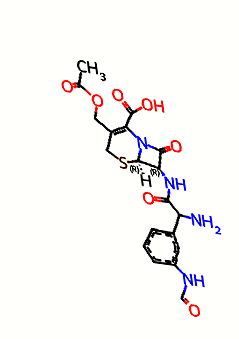 CC(=O)OCC1=C(C(=O)O)N2C(=O)[C@@H](NC(=O)C(N)c3cccc(NC=O)c3)[C@H]2SC1